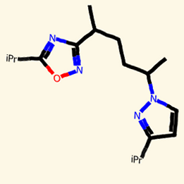 CC(C)c1ccn(C(C)CCC(C)c2noc(C(C)C)n2)n1